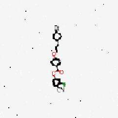 CC[C@H]1CC[C@H](CCCOc2ccc(C(=O)Oc3ccc(C#N)c(F)c3)cc2)CC1